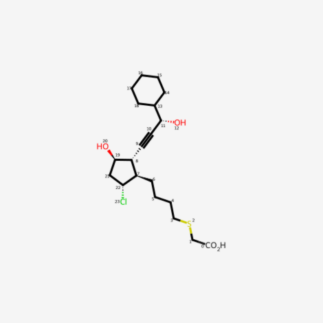 O=C(O)CSCCCC[C@@H]1[C@@H](C#C[C@@H](O)C2CCCCC2)[C@H](O)C[C@H]1Cl